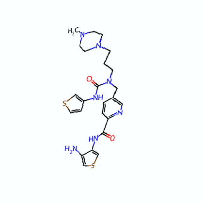 CN1CCN(CCCN(Cc2ccc(C(=O)Nc3cscc3N)nc2)C(=O)Nc2ccsc2)CC1